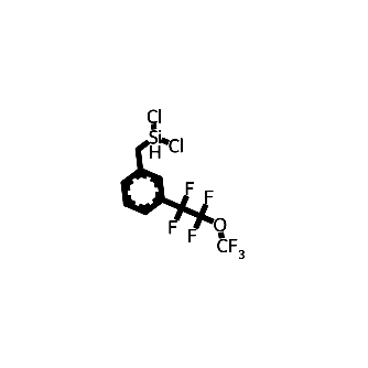 FC(F)(F)OC(F)(F)C(F)(F)c1cccc(C[SiH](Cl)Cl)c1